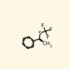 C=C(SC(F)(F)F)c1ccccc1